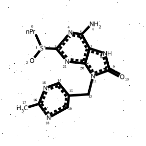 CCC[S+]([O-])c1nc(N)c2[nH]c(=O)n(Cc3cnc(C)nc3)c2n1